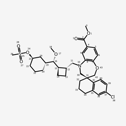 COC(=O)c1ccc2c(c1)N(C[C@@H]1CC[C@H]1[C@@H](OC)[C@@H]1CCC[C@@H](OS(C)(=O)=O)C1)C[C@@]1(CCCc3cc(Cl)ccc31)CO2